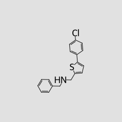 Clc1ccc(-c2ccc(CNCc3ccccc3)s2)cc1